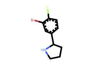 Fc1ccc(C2CCCN2)cc1Br